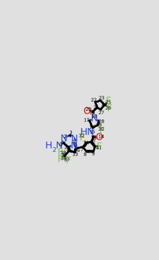 Nc1ncnn2c(-c3ccc(F)c(C(=O)N[C@@H]4CN(C(=O)C5CCC(F)(F)C5)C[C@@H]4F)c3F)cc(C(F)(F)F)c12